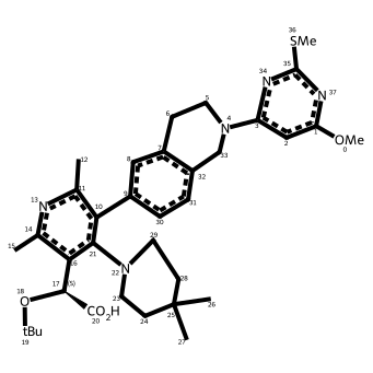 COc1cc(N2CCc3cc(-c4c(C)nc(C)c([C@H](OC(C)(C)C)C(=O)O)c4N4CCC(C)(C)CC4)ccc3C2)nc(SC)n1